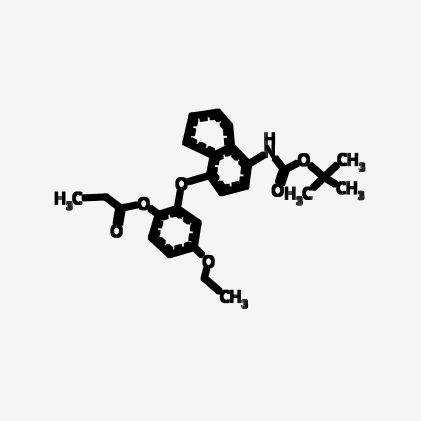 CCOc1ccc(OC(=O)CC)c(Oc2ccc(NC(=O)OC(C)(C)C)c3ccccc23)c1